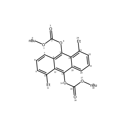 CCCCOC(=O)Oc1c2cccc(CC)c2c(OC(=O)OCCCC)c2cccc(CC)c12